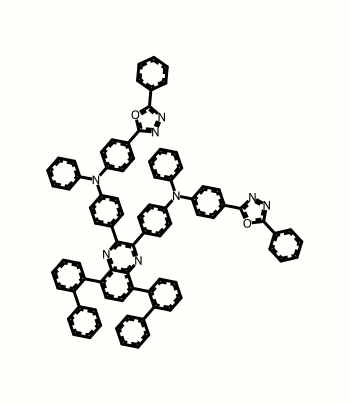 c1ccc(-c2nnc(-c3ccc(N(c4ccccc4)c4ccc(-c5nc6c(-c7ccccc7-c7ccccc7)ccc(-c7ccccc7-c7ccccc7)c6nc5-c5ccc(N(c6ccccc6)c6ccc(-c7nnc(-c8ccccc8)o7)cc6)cc5)cc4)cc3)o2)cc1